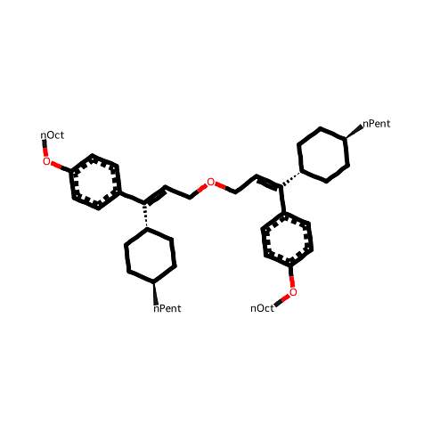 CCCCCCCCOc1ccc(C(=CCOCC=C(c2ccc(OCCCCCCCC)cc2)[C@H]2CC[C@H](CCCCC)CC2)[C@H]2CC[C@H](CCCCC)CC2)cc1